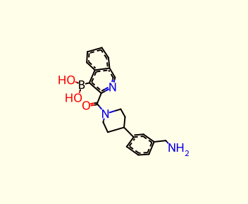 NCc1cccc(C2CCN(C(=O)c3ncc4ccccc4c3B(O)O)CC2)c1